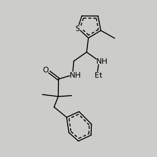 CCNC(CNC(=O)C(C)(C)Cc1ccccc1)c1sccc1C